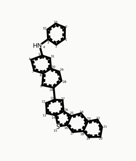 c1ccc(Nc2ccc3cc(-c4ccc5sc6cc7ccccc7cc6c5c4)ccc3c2)cc1